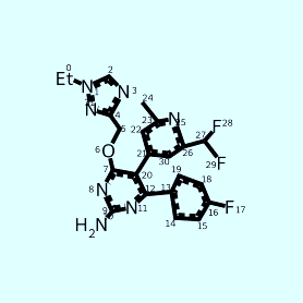 CCn1cnc(COc2nc(N)nc(-c3ccc(F)cc3)c2-c2cc(C)nc(C(F)F)c2)n1